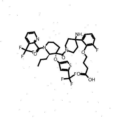 CCC[C@H]1N(C(=O)c2ncccc2C(F)(F)F)CCC[C@@]1(Oc1csc(C(F)(F)F)c1)C(=O)N1CCC(N)(c2cccc(F)c2OCCCC(=O)O)CC1